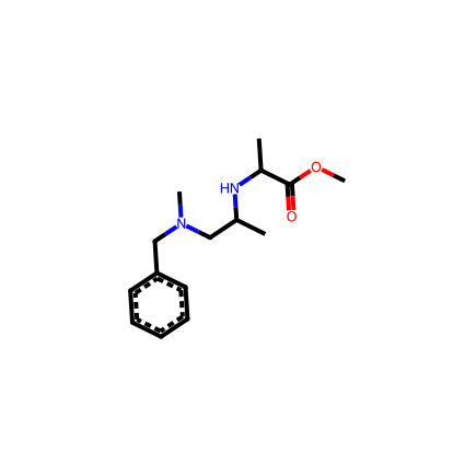 COC(=O)C(C)NC(C)CN(C)Cc1ccccc1